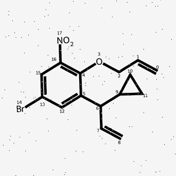 C=CCOc1c(C(C=C)C2CC2)cc(Br)cc1[N+](=O)[O-]